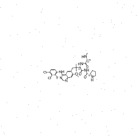 CN[C@@H](C)C(=O)N[C@H](C(=O)NC(=O)[C@@H]1CCCN1)C(C)(C)Cc1cc2c(Nc3ccc(Cl)c(Cl)c3F)ncnc2cc1OC